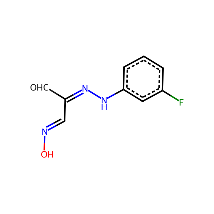 O=CC(/C=N/O)=N/Nc1cccc(F)c1